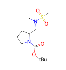 CN(CC1CCCN1C(=O)OC(C)(C)C)S(C)(=O)=O